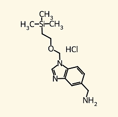 C[Si](C)(C)CCOCn1cnc2cc(CN)ccc21.Cl